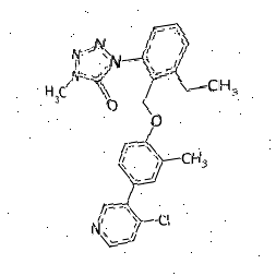 CCc1cccc(-n2nnn(C)c2=O)c1COc1ccc(-c2cnccc2Cl)cc1C